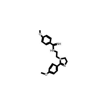 COc1ccc(C(=N)NCCN2CCN=C2c2ccc(OC)cc2)cc1